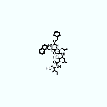 C=CC[C@H](NC(=O)[C@H](Cc1cccc2ccccc12)NC(=O)OCc1ccccc1)C(=O)NC(CC(C)C)C(O)CC(=O)N[C@H](CO)C(C)CC